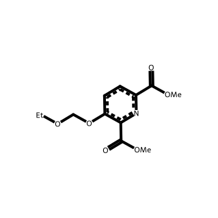 CCOCOc1ccc(C(=O)OC)nc1C(=O)OC